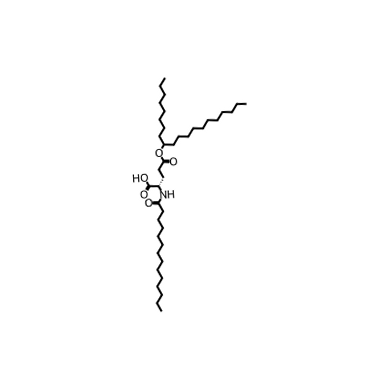 CCCCCCCCCCCCCC(=O)N[C@@H](CCC(=O)OC(CCCCCCCC)CCCCCCCCCCC)C(=O)O